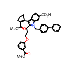 COC(=O)C1=C(c2c(CCCOc3cccc(C(=O)OC)c3)n(Cc3ccc(-c4ccccc4)cc3)c3cc(C(=O)O)ccc23)CCC1